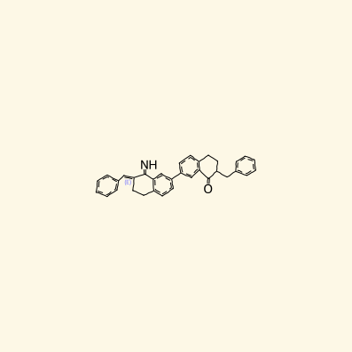 N=C1/C(=C/c2ccccc2)CCc2ccc(-c3ccc4c(c3)C(=O)C(Cc3ccccc3)CC4)cc21